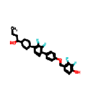 CCCC(O)C1CCC(c2ccc(-c3ccc(OCc4ccc(O)c(F)c4F)cc3)c(F)c2F)CC1